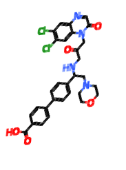 O=C(CNC(CN1CCOCC1)c1ccc(-c2ccc(C(=O)O)cc2)cc1)Cn1c(=O)cnc2cc(Cl)c(Cl)cc21